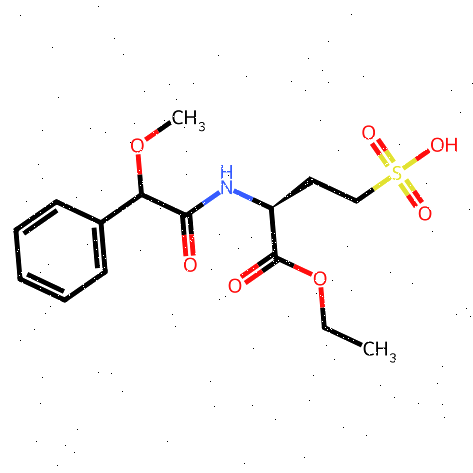 CCOC(=O)[C@H](CCS(=O)(=O)O)NC(=O)C(OC)c1ccccc1